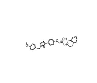 COc1ccc(Cn2ccc(-c3ccc(OC[C@@H](O)CN4CCc5ccccc5C4)cc3)n2)cc1